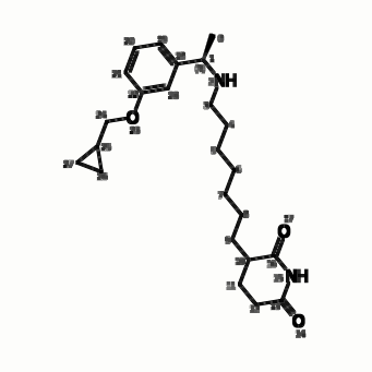 C[C@@H](NCCCCCCCC1CCC(=O)NC1=O)c1cccc(OCC2CC2)c1